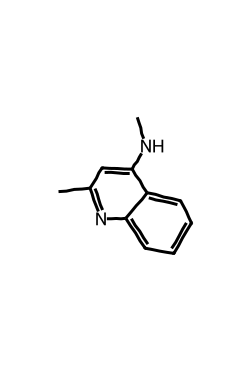 CNc1cc(C)nc2ccccc12